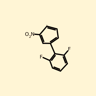 O=[N+]([O-])c1[c]ccc(-c2c(F)cccc2F)c1